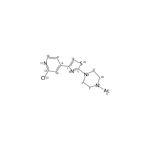 CC(=O)N1CCN(c2nc(-c3ccnc(Cl)c3)cs2)CC1